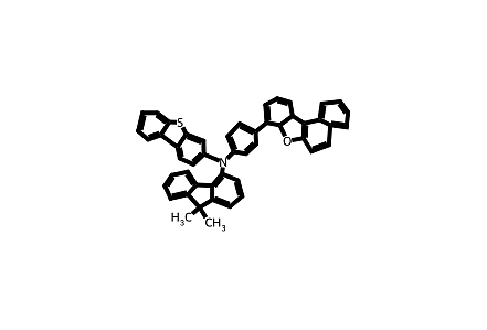 CC1(C)c2ccccc2-c2c(N(c3ccc(C4=CC=CC5c6c(ccc7ccccc67)OC45)cc3)c3ccc4c(c3)sc3ccccc34)cccc21